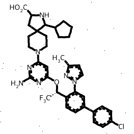 Cc1ccn(-c2cc(-c3ccc(Cl)cc3)ccc2[C@@H](Oc2cc(N3CCC4(CC3)CC(C(=O)O)NC4C3CCCC3)nc(N)n2)C(F)(F)F)n1